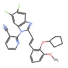 COc1cccc(C=Cc2nc3cc(F)c(F)cc3n2-c2ncccc2C#N)c1OC1CCCC1